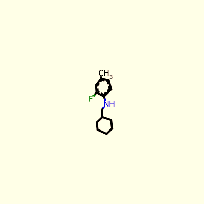 Cc1ccc(NCC2CCCCC2)c(F)c1